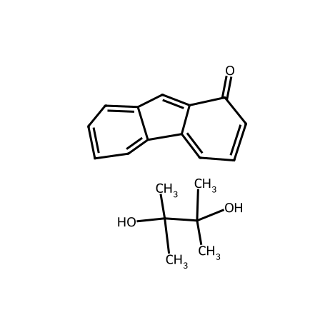 CC(C)(O)C(C)(C)O.O=C1C=CC=C2C1=Cc1ccccc12